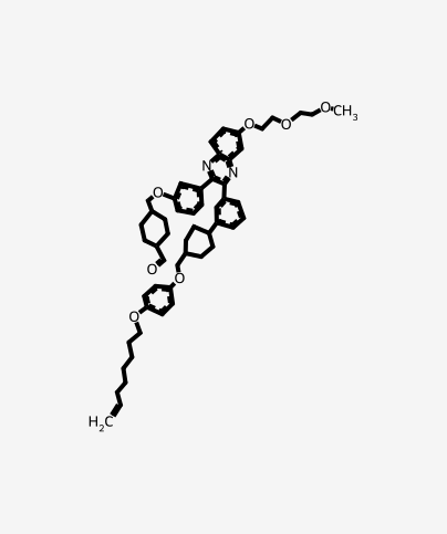 C=CCCCCCCOc1ccc(OCC2CCC(c3cccc(-c4nc5cc(OCCOCCOC)ccc5nc4-c4cccc(OCC5CCC(C=O)CC5)c4)c3)CC2)cc1